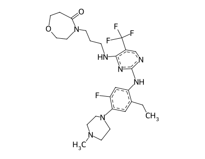 CCc1cc(N2CCN(C)CC2)c(F)cc1Nc1ncc(C(F)(F)F)c(NCCCN2CCOCCC2=O)n1